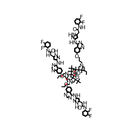 CCCCN(CCCOc1ccc2c(Nc3cc(CC(=O)Nc4cccc(F)c4F)[nH]n3)ncnc2c1)CC(OP(=O)(OC(CN(CCCC)CCCOc1ccc2c(Nc3cc(CC(=O)Nc4cccc(F)c4F)[nH]n3)ncnc2c1)(C(C)(C)C)C(C)(C)C)OC(CN(CCCC)CCCOc1ccc2c(Nc3cc(CC(=O)Nc4cccc(F)c4F)[nH]n3)ncnc2c1)(C(C)(C)C)C(C)(C)C)(C(C)(C)C)C(C)(C)C